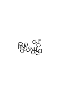 Cc1c(NC(=O)[C@H]2[C@H](c3ccc(F)c(Cl)c3)C2(Cl)Cl)ccc(Cl)c1C(=O)Nc1ccccc1